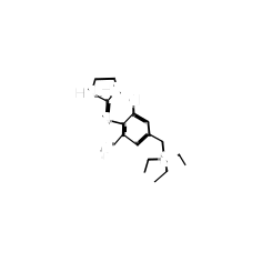 CC[N+](CC)(CC)Cc1cc(Cl)c(N=C2NCCN2)c(Cl)c1.[Br-]